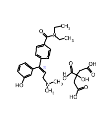 CCN(CC)C(=O)c1ccc(/C(=C/CN(C)C)c2cccc(O)c2)cc1.O=C(O)CC(O)(CC(=O)O)C(=O)O